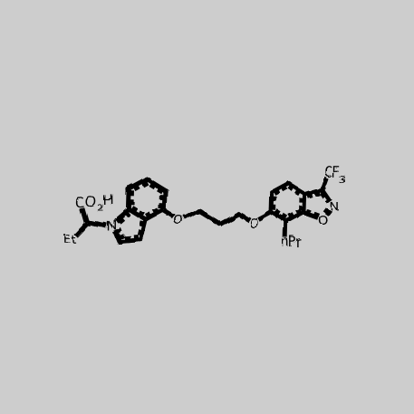 CCCc1c(OCCCOc2cccc3c2ccn3C(CC)C(=O)O)ccc2c(C(F)(F)F)noc12